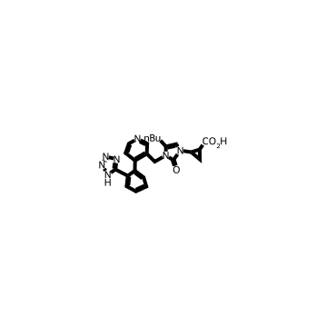 CCCCc1cn(C2CC2C(=O)O)c(=O)n1Cc1cnccc1-c1ccccc1-c1nnn[nH]1